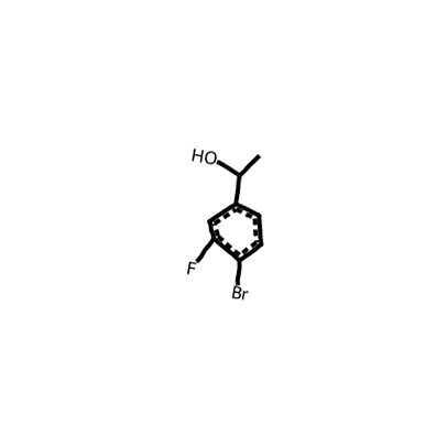 CC(O)c1ccc(Br)c(F)c1